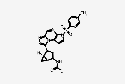 Cc1ccc(S(=O)(=O)n2ccc3c2ncc2nnc([C@H]4CC(NC(=O)O)C5C[C@H]54)n23)cc1